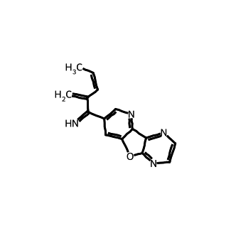 C=C(/C=C\C)C(=N)c1cnc2c(c1)oc1nccnc12